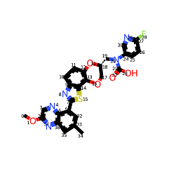 COc1cnc2c(-c3nc4ccc5c(c4s3)OC[C@@H](CN(C(=O)O)c3ccc(F)nc3)O5)cc(C)cc2n1